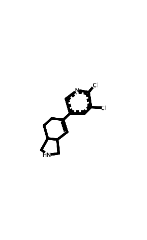 Clc1cc(C2=CC3CNCC3CC2)cnc1Cl